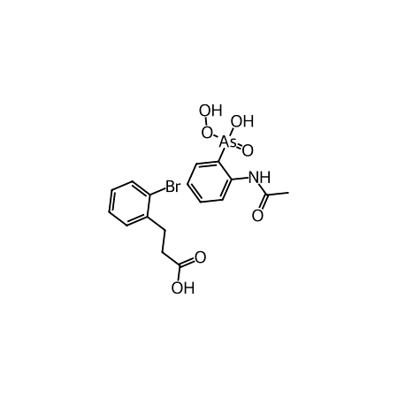 CC(=O)Nc1ccccc1[As](=O)(O)OO.O=C(O)CCc1ccccc1Br